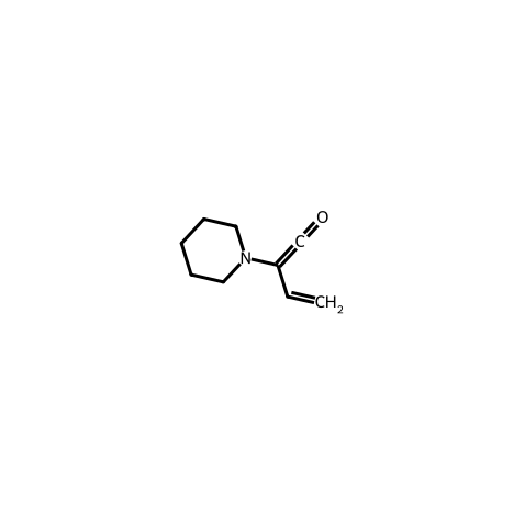 C=CC(=C=O)N1CCCCC1